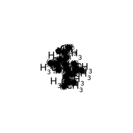 Cc1c(-c2ccccc2)c(C)c(-c2cccc(N(c3ccc(-c4ccc(N(c5cccc(-c6c(C)c(-c7ccccc7)c(C)c(-c7ccccc7)c6C)c5)c5cccc(-c6c(C)c(-c7ccccc7)c(C)c(C7C=CC=CC7)c6C)c5)cc4)cc3)c3cccc(-c4c(C)c(-c5ccccc5)c(C)c(-c5ccccc5)c4C)c3)c2)c(C)c1-c1ccccc1